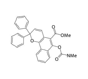 CNC(=O)Oc1c(C(=O)OC)c2c(c3ccccc13)OC(c1ccccc1)(c1ccccc1)C=C2